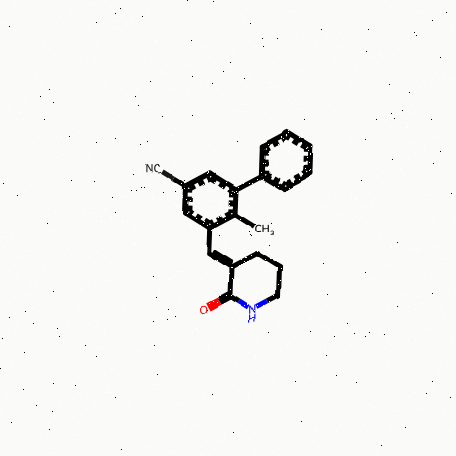 Cc1c(/C=C2\CCCNC2=O)cc(C#N)cc1-c1ccccc1